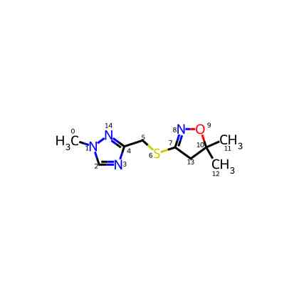 Cn1cnc(CSC2=NOC(C)(C)C2)n1